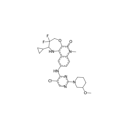 COC1CCCN(c2ncc(Cl)c(Nc3ccc4c(c3)c3c(c(=O)n4C)OCC(F)(F)C(C4CC4)N3)n2)C1